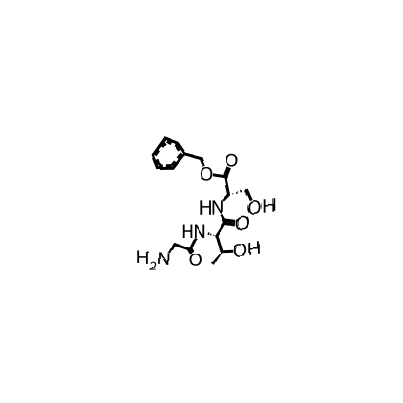 C[C@H](O)[C@H](NC(=O)CN)C(=O)N[C@@H](CO)C(=O)OCc1ccccc1